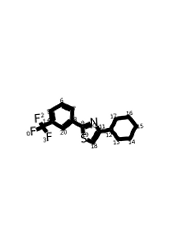 FC(F)(F)c1cccc(-c2nc(C3CCCCC3)cs2)c1